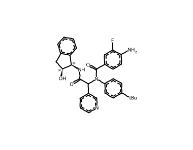 CC(C)(C)c1ccc(N(C(=O)c2ccc(N)c(F)c2)C(C(=O)N[C@@H]2c3ccccc3C[C@@H]2O)c2cccnc2)cc1